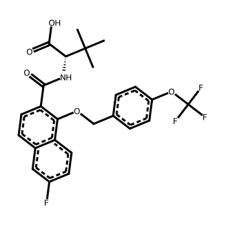 CC(C)(C)[C@H](NC(=O)c1ccc2cc(F)ccc2c1OCc1ccc(OC(F)(F)F)cc1)C(=O)O